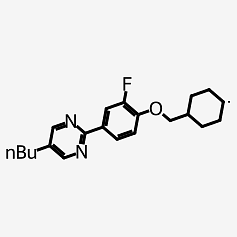 CCCCc1cnc(-c2ccc(OCC3CC[CH]CC3)c(F)c2)nc1